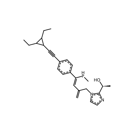 C=C(/C=C(\PC)c1ccc(C#CC2C(CC)C2CC)cc1)Cn1ccnc1[C@H](C)O